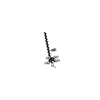 CCCCCCCCCCCCCCCCCCNC(CCO)(CCO)C(CN)CCO.F.F